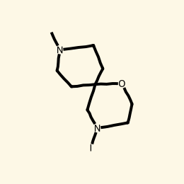 CN1CCC2(CC1)CN(I)CCO2